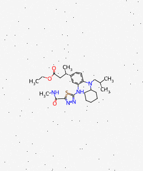 CCOC(=O)CC(C)c1ccc(N(CC(C)C)C2CCCCC2)c(Nc2nnc(C(=O)NC)s2)c1